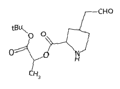 CC(OC(=O)C1CC(CC=O)CCN1)C(=O)OC(C)(C)C